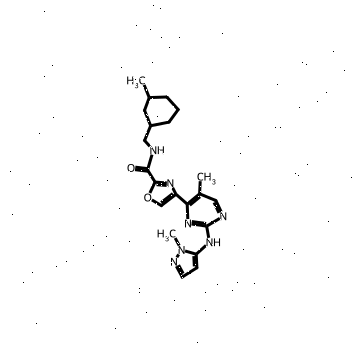 Cc1cnc(Nc2ccnn2C)nc1-c1coc(C(=O)NCC2CCCC(C)C2)n1